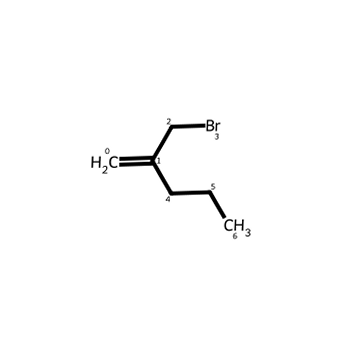 C=C(CBr)CCC